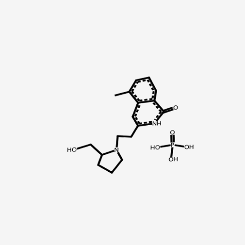 Cc1cccc2c(=O)[nH]c(CCN3CCCC3CO)cc12.O=P(O)(O)O